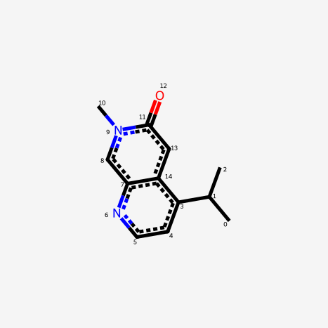 CC(C)c1ccnc2cn(C)c(=O)cc12